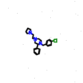 Clc1ccc(CN2CCN(CCN3CCCC3)CC2c2ccccc2)cc1